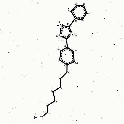 CCCCCCCCc1ccc(-c2n[nH]c(-c3ccccc3)n2)cc1